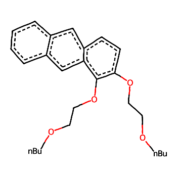 CCCCOCCOc1ccc2cc3ccccc3cc2c1OCCOCCCC